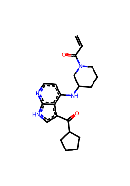 C=CC(=O)N1CCCC(Nc2ccnc3[nH]cc(C(=O)C4CCCC4)c23)C1